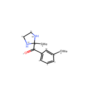 COc1cccc(C(=O)C2(SC)NCCN2)c1